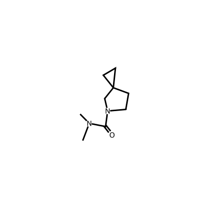 CN(C)C(=O)N1CCC2(CC2)C1